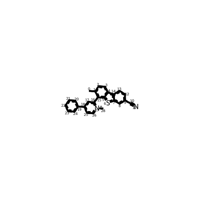 Cc1ccc2c(sc3cc(C#N)ccc32)c1-c1cc(-c2ccccc2)cc[n+]1C